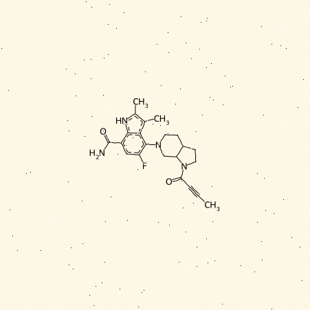 CC#CC(=O)N1CCC2CCN(c3c(F)cc(C(N)=O)c4[nH]c(C)c(C)c34)CC21